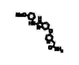 COc1cccc(Nc2nc3cc(Oc4ccnc(CC(N)=O)c4)ccc3[nH]2)c1